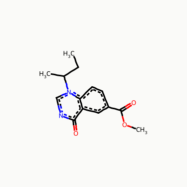 CCC(C)n1cnc(=O)c2cc(C(=O)OC)ccc21